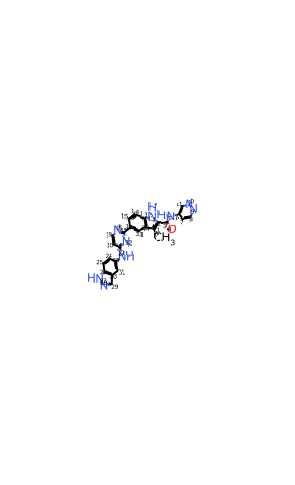 Cc1c(C(=O)Nc2ccnnc2)[nH]c2ccc(-c3nccc(Nc4ccc5[nH]ncc5c4)n3)cc12